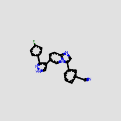 N#Cc1cccc(-c2cnc3ccc(-c4c[nH]nc4-c4ccc(F)cc4)cn23)c1